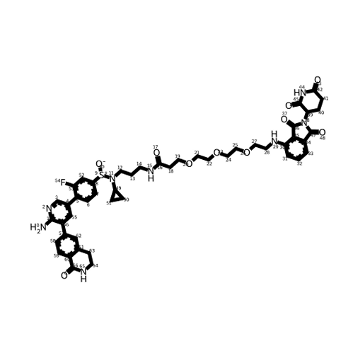 Nc1ncc(-c2ccc([S+]([O-])N(CCCNC(=O)CCOCCOCCOCCNc3cccc4c3C(=O)N(C3CCC(=O)NC3=O)C4=O)C3CC3)cc2F)cc1-c1ccc2c(c1)CCNC2=O